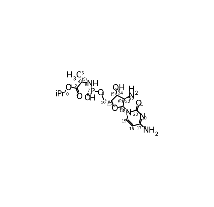 CC(C)OC(=O)[C@H](C)N[PH](=O)OC[C@H]1O[C@@H](n2ccc(N)nc2=O)[C@H](N)[C@@H]1O